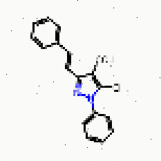 Cc1c(C(=O)O)c(C=Cc2ccccc2)nn1-c1ccccc1